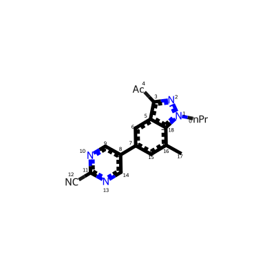 CCCn1nc(C(C)=O)c2cc(-c3cnc(C#N)nc3)cc(C)c21